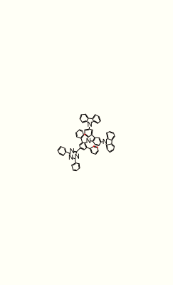 c1ccc(-c2nc(-c3ccccc3)nc(-c3cc(-c4ccccc4)c(-n4c5ccc(-n6c7ccccc7c7ccccc76)cc5c5cc(-n6c7ccccc7c7ccccc76)ccc54)c(-c4ccccc4)c3)n2)cc1